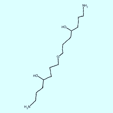 NCCCC(O)CCCOCCCC(O)CCCN